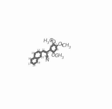 COc1cc(OC)c(C(C#N)=Cc2ccc3ccccc3c2)cc1OC